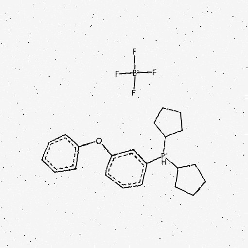 F[B-](F)(F)F.c1ccc(Oc2cccc([PH+](C3CCCC3)C3CCCC3)c2)cc1